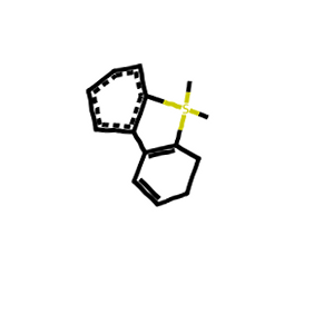 CS1(C)C2=C(C=CCC2)c2ccccc21